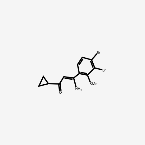 CSc1c(C(N)=CC(=O)C2CC2)ccc(Br)c1Br